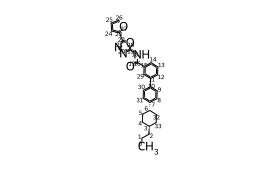 CCC[C@H]1CC[C@H](c2ccc(-c3cccc(C(=O)Nc4nnc(-c5ccco5)o4)c3)cc2)CC1